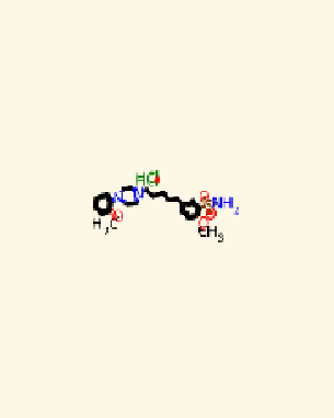 COc1ccccc1N1CCN(CCCCCc2ccc(OC)c(S(N)(=O)=O)c2)CC1.Cl.Cl